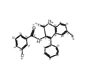 O=C(Nc1c(-c2ccccc2)c2cc(Br)ccc2[nH]c1=O)c1cccc(Cl)c1